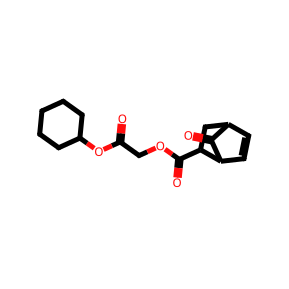 O=C(COC(=O)C1CC2C=CC1C2=O)OC1CCCCC1